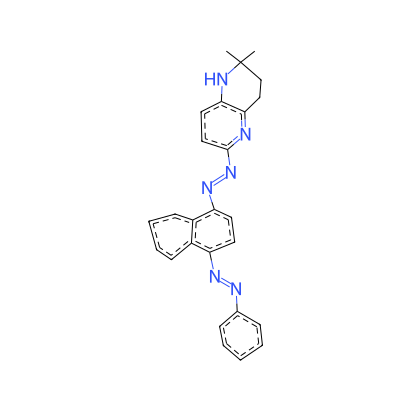 CC1(C)CCc2nc(N=Nc3ccc(N=Nc4ccccc4)c4ccccc34)ccc2N1